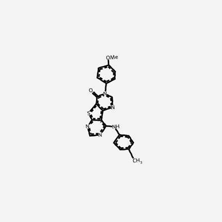 COc1ccc(-n2cnc3c(sc4ncnc(Nc5ccc(C)cc5)c43)c2=O)cc1